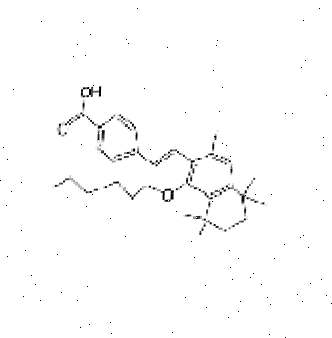 CCCCCCOc1c(C=Cc2ccc(C(=O)O)cc2)c(C)cc2c1C(C)(C)CCC2(C)C